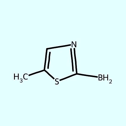 Bc1ncc(C)s1